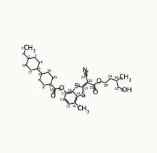 CCC1CCC(C2CCC(C(=O)Oc3ccc(C)c4c3S/C(=C(\C#N)C(=O)OCCC(C)CO)S4)CC2)CC1